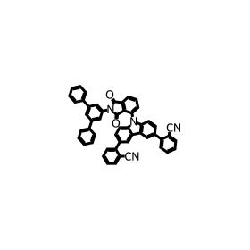 N#Cc1ccccc1-c1ccc2c(c1)c1cc(-c3ccccc3C#N)ccc1n2-c1cccc2c1C(=O)N(c1cc(-c3ccccc3)cc(-c3ccccc3)c1)C2=O